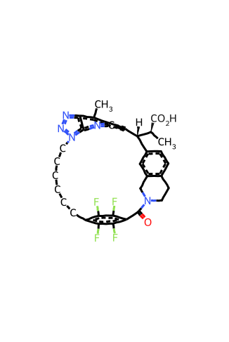 Cc1c2cnc3c1nnn3CCCCCCc1c(F)c(F)c(c(F)c1F)C(=O)N1CCc3ccc(cc3C1)[C@H]2[C@H](C)C(=O)O